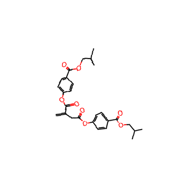 C=C(CC(=O)Oc1ccc(C(=O)OCC(C)C)cc1)C(=O)Oc1ccc(C(=O)OCC(C)C)cc1